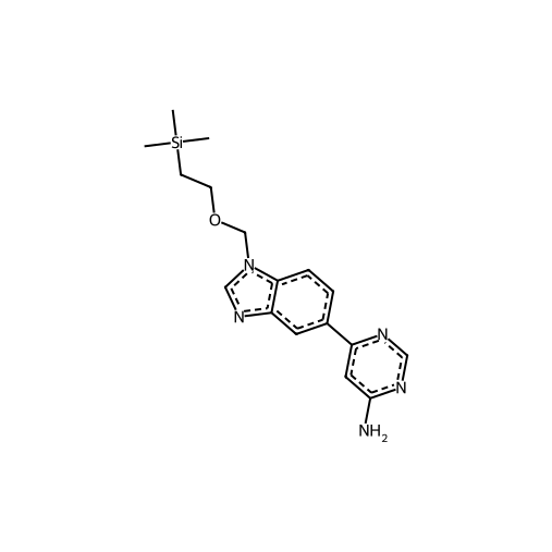 C[Si](C)(C)CCOCn1cnc2cc(-c3cc(N)ncn3)ccc21